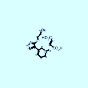 CCC(C)CCOc1nsnc1C1=CCCN(C)C1.O=C(O)/C=C/C(=O)O